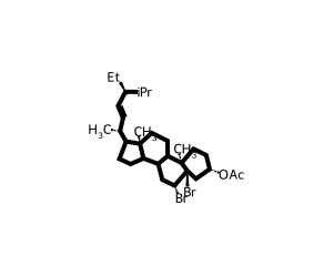 CC[C@H](/C=C/[C@@H](C)C1CCC2C3C[C@@H](Br)[C@@]4(Br)C[C@@H](OC(C)=O)CC[C@]4(C)C3CC[C@@]21C)C(C)C